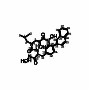 CC(C)CN(CC(O)C(=O)NO)C(=O)N[C@@H](Cc1ccc(-c2ccc3ccccc3c2)cc1)C(=O)NO